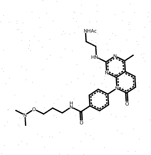 CC(=O)NCCNc1nc(C)c2ccc(=O)n(-c3ccc(C(=O)NCCCON(C)C)cc3)c2n1